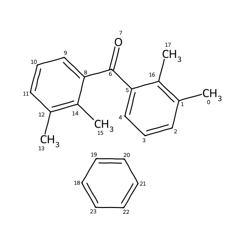 Cc1cccc(C(=O)c2cccc(C)c2C)c1C.c1ccccc1